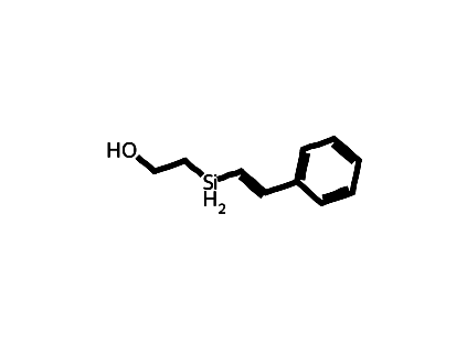 OCC[SiH2]C=Cc1ccccc1